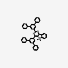 C[Si]1(C)c2ccccc2-c2nc(-c3cc(-c4ccccc4)cc(-c4ccccc4)c3)nc(-c3cc(-c4ccccc4)cc(-c4ccccc4)c3)c21